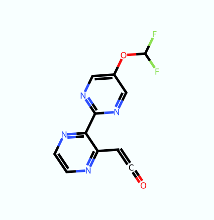 O=C=Cc1nccnc1-c1ncc(OC(F)F)cn1